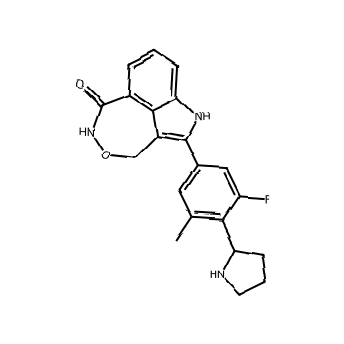 Cc1cc(-c2[nH]c3cccc4c3c2CONC4=O)cc(F)c1C1CCCN1